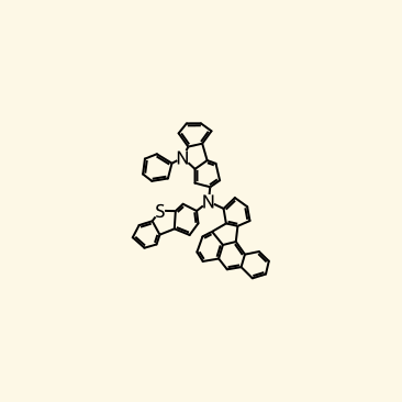 c1ccc(-n2c3ccccc3c3ccc(N(c4ccc5c(c4)sc4ccccc45)c4cccc5c4-c4cccc6cc7ccccc7c-5c46)cc32)cc1